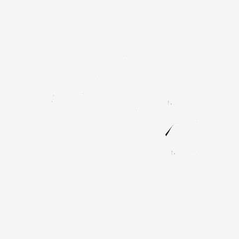 C/C(=C/C(=O)N1CCC[C@H]1CN1CCCCC1)c1ccc(CC(C)C)cc1